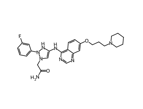 NC(=O)CN1C=C(Nc2ncnc3cc(OCCCN4CCCCC4)ccc23)NN1c1cccc(F)c1